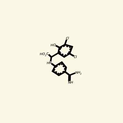 N=C(N)c1ccc(NC(C(=O)O)c2cc(Cl)cc(Cl)c2O)cc1